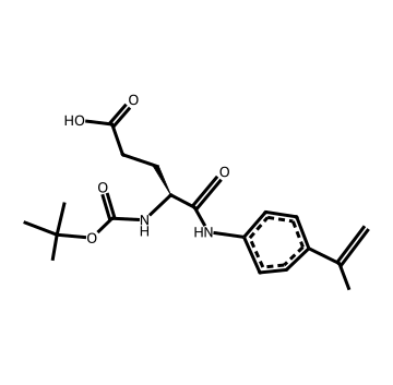 C=C(C)c1ccc(NC(=O)[C@H](CCC(=O)O)NC(=O)OC(C)(C)C)cc1